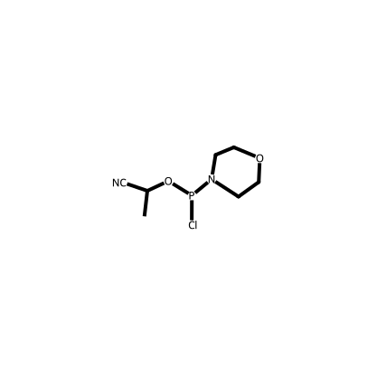 CC(C#N)OP(Cl)N1CCOCC1